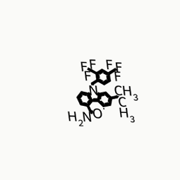 CC(C)c1c[c]c2c3c(C(N)=O)cccc3n(Cc3ccc(C(F)(F)F)cc3C(F)(F)F)c2c1